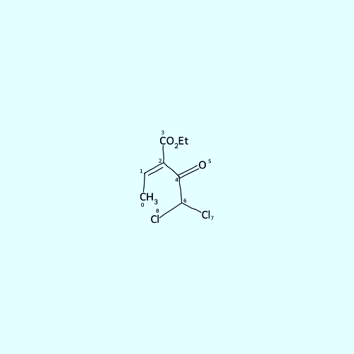 CC=C(C(=O)OCC)C(=O)C(Cl)Cl